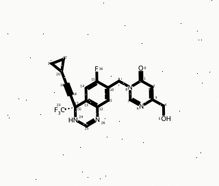 O=c1cc(CO)ncn1Cc1cc2c(cc1F)[C@@](C#CC1CC1)(C(F)(F)F)NC=N2